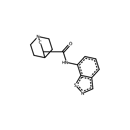 O=C(Nc1cccc2cnsc12)C1CN2CCC1CC2